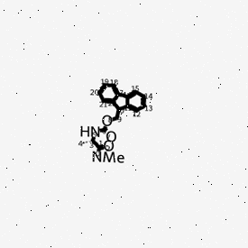 CNC(=O)[C@H](C)NC(=O)OCC1c2ccccc2-c2ccccc21